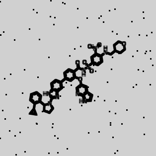 O=C(NS(=O)(=O)c1ccc(NCC2CCOCC2)c([N+](=O)[O-])c1)c1ccc(-c2ccc3[nH]c(N4CCCC4c4ccccc4C4CC4)nc3c2)cc1Oc1cnc2[nH]ccc2c1